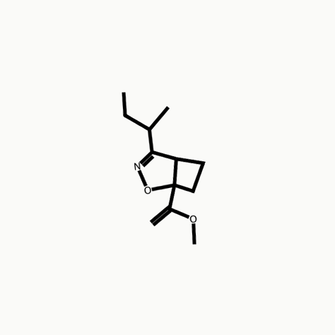 C=C(OC)C12CCC1C(C(C)CC)=NO2